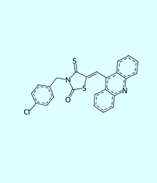 O=C1SC(=Cc2c3ccccc3nc3ccccc23)C(=S)N1Cc1ccc(Cl)cc1